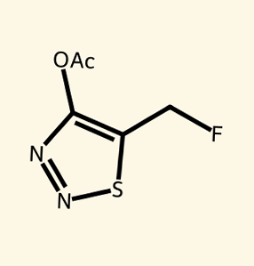 CC(=O)Oc1nnsc1CF